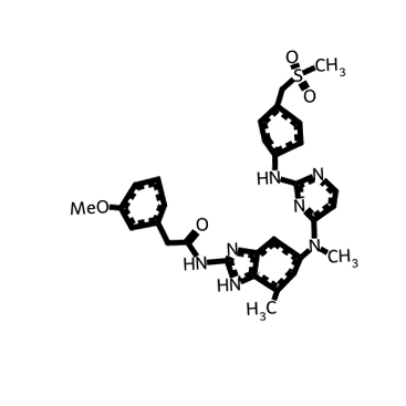 COc1cccc(CC(=O)Nc2nc3cc(N(C)c4ccnc(Nc5ccc(CS(C)(=O)=O)cc5)n4)cc(C)c3[nH]2)c1